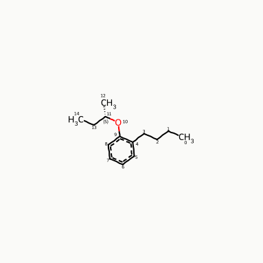 CCCCc1ccccc1O[C@@H](C)CC